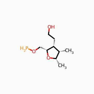 C[C@H]1[C@@H](CCO)[C@@H](COP)O[C@H]1C